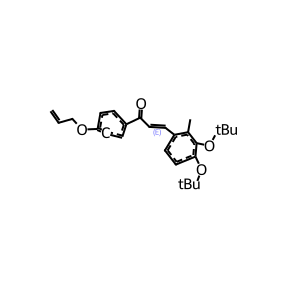 C=CCOc1ccc(C(=O)/C=C/c2ccc(OC(C)(C)C)c(OC(C)(C)C)c2C)cc1